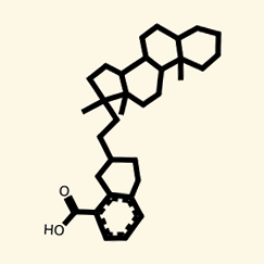 CC12CCCCC1CCC1C2CCC2(C)C1CCC2(C)CCC1CCc2cccc(C(=O)O)c2C1